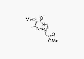 COC(=O)Cn1ccn2c(=O)c(OC)c(C)nc12